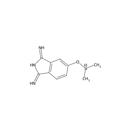 C[SiH](C)Oc1ccc2c(c1)C(=N)NC2=N